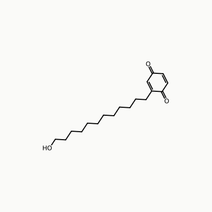 O=C1C=CC(=O)C(CCCCCCCCCCCCO)=C1